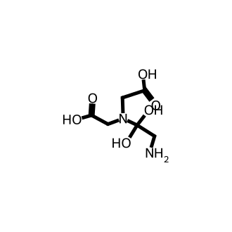 NCC(O)(O)N(CC(=O)O)CC(=O)O